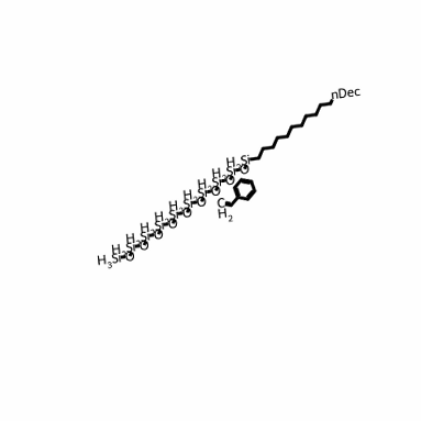 C=Cc1ccccc1.CCCCCCCCCCCCCCCCCCCCC[SiH2]O[SiH2]O[SiH2]O[SiH2]O[SiH2]O[SiH2]O[SiH2]O[SiH2]O[SiH2]O[SiH3]